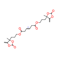 C=C1OC(=O)OC1(C)CCCOC(=O)C/C=C/CC(=O)OCCCC1(C)OC(=O)OC1=C